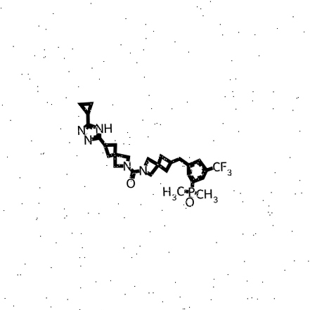 CP(C)(=O)c1cc(CC2CC3(C2)CN(C(=O)N2CC4(CC(c5nnc(C6CC6)[nH]5)C4)C2)C3)cc(C(F)(F)F)c1